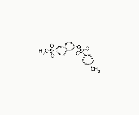 Cc1ccc(S(=O)(=O)Oc2ccc3cc(S(C)(=O)=O)ccc3c2)cc1